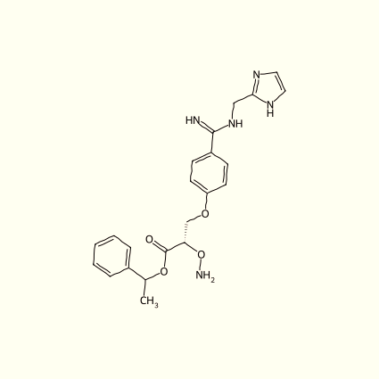 CC(OC(=O)[C@H](COc1ccc(C(=N)NCc2ncc[nH]2)cc1)ON)c1ccccc1